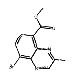 COC(=O)c1ccc(Br)c2ncc(C)nc12